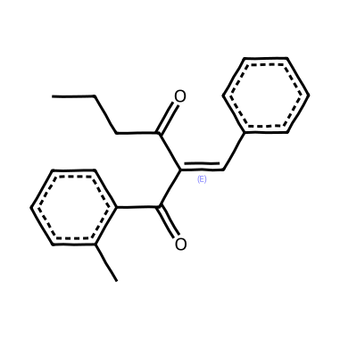 CCCC(=O)/C(=C\c1ccccc1)C(=O)c1ccccc1C